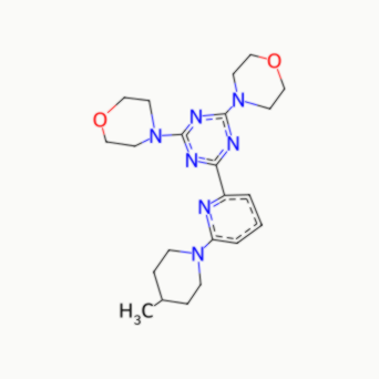 CC1CCN(c2cccc(-c3nc(N4CCOCC4)nc(N4CCOCC4)n3)n2)CC1